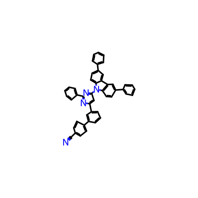 N#Cc1ccc(-c2cccc(-c3cc(-n4c5ccc(-c6ccccc6)cc5c5cc(-c6ccccc6)ccc54)nc(-c4ccccc4)n3)c2)cc1